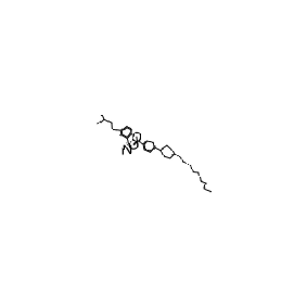 CCCCCCCCCC1CCC(c2ccc(C(=O)Oc3ccc(CCC(C)C)cc3C#N)cc2)CC1